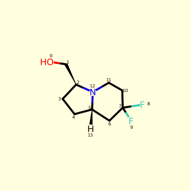 OC[C@@H]1CC[C@H]2CC(F)(F)CCN12